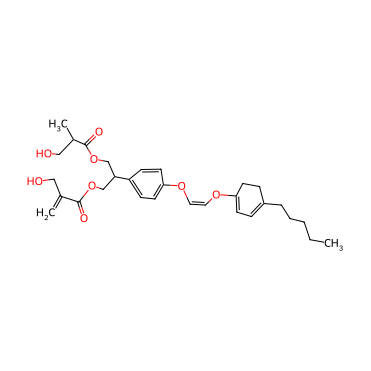 C=C(CO)C(=O)OCC(COC(=O)C(C)CO)c1ccc(O/C=C\OC2=CC=C(CCCCC)CC2)cc1